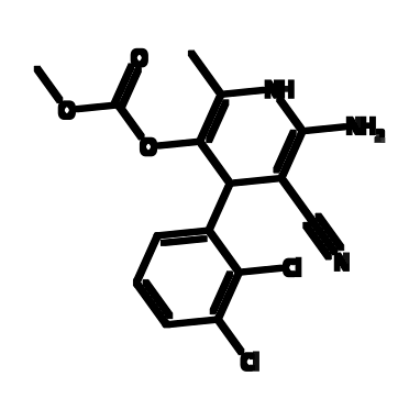 COC(=O)OC1=C(C)NC(N)=C(C#N)C1c1cccc(Cl)c1Cl